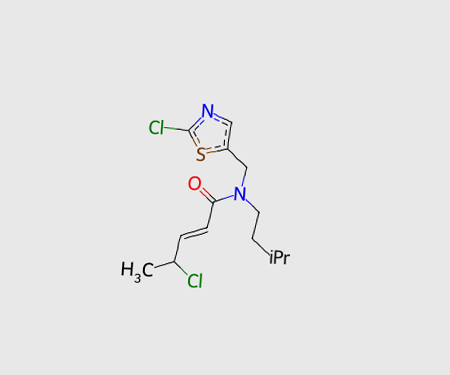 CC(Cl)/C=C/C(=O)N(CCC(C)C)Cc1cnc(Cl)s1